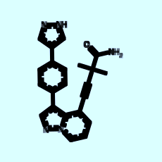 CC(C)(C#Cc1cccn2ncc(-c3ccc(-c4cn[nH]c4)cc3)c12)C(N)=O